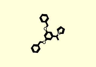 CC(c1cc(OCc2ccccc2)cc(OCc2ccccc2)c1)n1cccc1